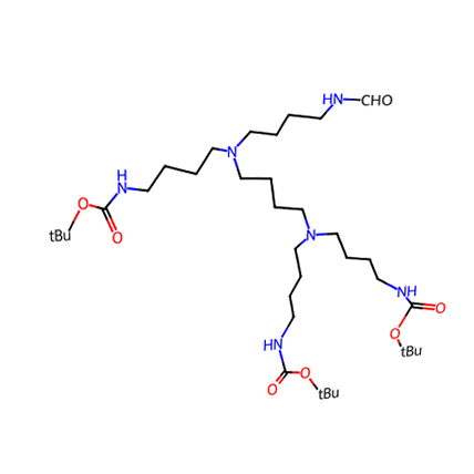 CC(C)(C)OC(=O)NCCCCN(CCCCNC=O)CCCCN(CCCCNC(=O)OC(C)(C)C)CCCCNC(=O)OC(C)(C)C